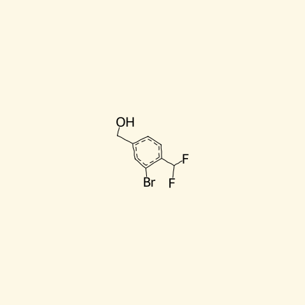 OCc1ccc(C(F)F)c(Br)c1